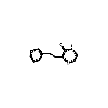 O=c1[nH]ccnc1CCc1ccccc1